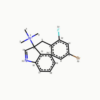 C[N+](C)(C)C1(Cc2ccc(Br)cc2F)C=Nc2ccccc21